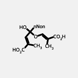 CCCCCCCCCC(O)(C=C(C)C(=O)O)OC=C(C)C(=O)O